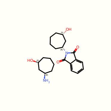 N[C@@H]1CCCC[C@H](O)C1.O=C1c2ccccc2C(=O)N1[C@@H]1CCCC[C@H](O)C1